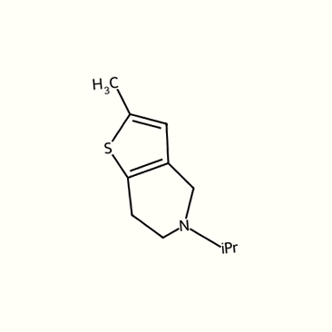 Cc1cc2c(s1)CCN(C(C)C)C2